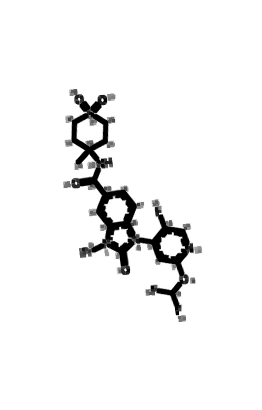 CC(C)n1c(=O)n(-c2cc(OC(F)F)ncc2F)c2ccc(C(=O)NC3(C)CCS(=O)(=O)CC3)cc21